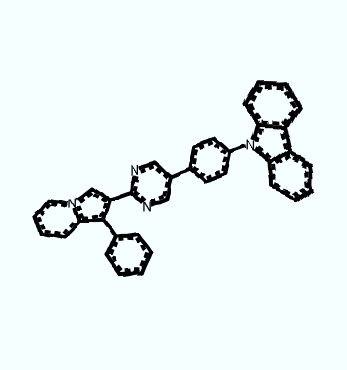 c1ccc(-c2c(-c3ncc(-c4ccc(-n5c6ccccc6c6ccccc65)cc4)cn3)cn3ccccc23)cc1